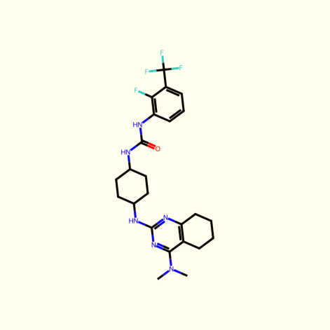 CN(C)c1nc(NC2CCC(NC(=O)Nc3cccc(C(F)(F)F)c3F)CC2)nc2c1CCCC2